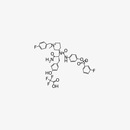 C[N+]1(Cc2ccc(F)cc2)CCC/C(=[N+](\C(=O)Nc2ccc(OS(=O)(=O)c3cccc(F)c3)cc2)[C@@H](Cc2ccc(O)cc2)C(N)=O)C1.O=C(O)C(F)(F)F